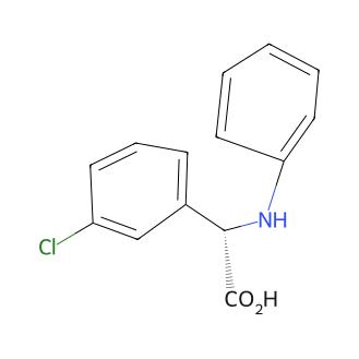 O=C(O)[C@@H](Nc1ccccc1)c1cccc(Cl)c1